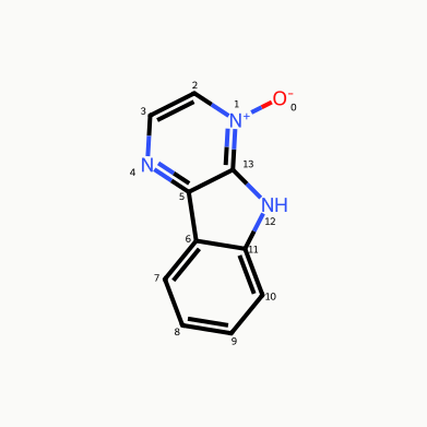 [O-][n+]1ccnc2c3ccccc3[nH]c21